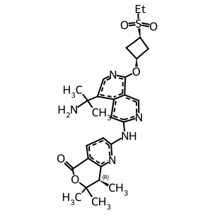 CCS(=O)(=O)[C@H]1C[C@@H](Oc2ncc(C(C)(C)N)c3cc(Nc4ccc5c(n4)[C@@H](C)C(C)(C)OC5=O)ncc23)C1